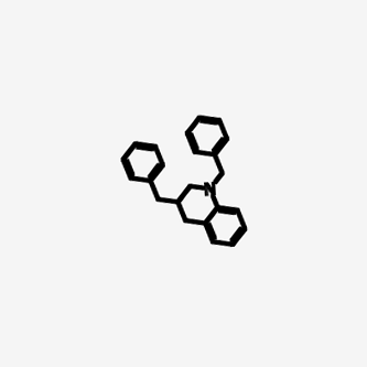 c1ccc(CC2Cc3ccccc3N(Cc3ccccc3)C2)cc1